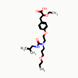 CCCOCCCN(CCOc1ccc(CC(OCC)C(=O)O)cc1)C(=O)NCC(C)C